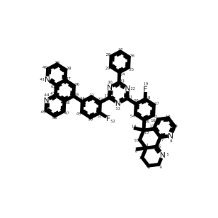 CC12CCCN=C1c1ncccc1C(C)(c1ccc(F)c(-c3nc(-c4ccccc4)nc(-c4cc(-c5cc6cccnc6c6ncccc56)ccc4F)n3)c1)C2